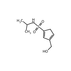 CC(C)NS(=O)(=O)C1=CC(CO)=CC1